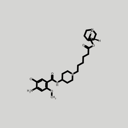 COc1cc(N)c(Cl)cc1C(=O)NC1CCN(CCCCCC(=O)O[C@H]2CN3CCC2CC3)CC1